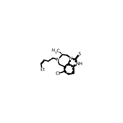 CC/C=C\CCN1Cc2c(Cl)ccc3[nH]c(=S)n(c23)C[C@@H]1C